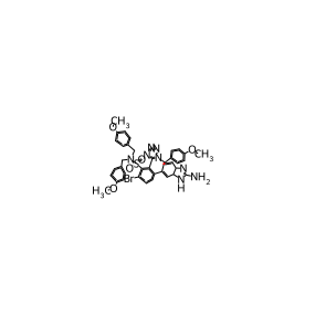 COc1ccc(CN(Cc2ccc(OC)cc2)S(=O)(=O)c2c(Br)ccc(C3=CC4NC(N)=NC4C=C3)c2-c2nnnn2Cc2ccc(OC)cc2)cc1